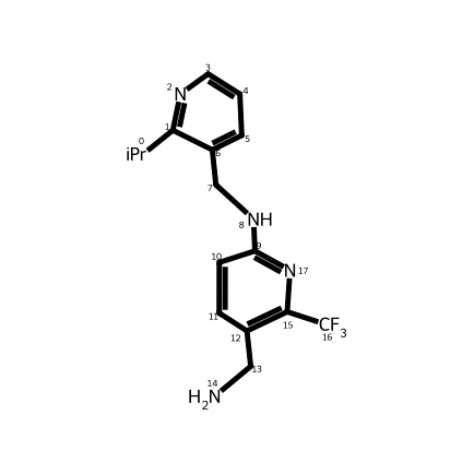 CC(C)c1ncccc1CNc1ccc(CN)c(C(F)(F)F)n1